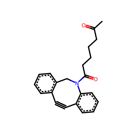 CC(=O)CCCCC(=O)N1Cc2ccccc2C#Cc2ccccc21